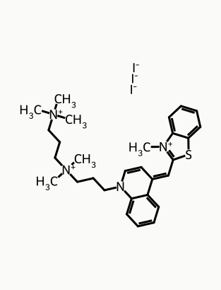 C[n+]1c(C=C2C=CN(CCC[N+](C)(C)CCC[N+](C)(C)C)c3ccccc32)sc2ccccc21.[I-].[I-].[I-]